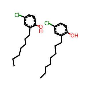 CCCCCCCCc1cc(Cl)ccc1O.CCCCCCCc1cc(Cl)ccc1O